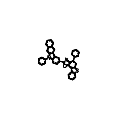 c1ccc(-c2cc3sc4ccccc4c3c3oc(-c4ccc5c(c4)c4cc6ccccc6cc4n5-c4ccccc4)nc23)cc1